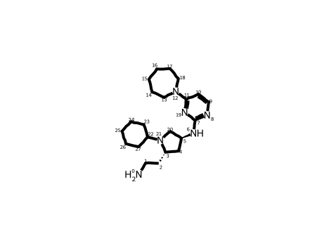 NCC[C@H]1C[C@H](Nc2nccc(N3CCCCCC3)n2)CN1C1CCCCC1